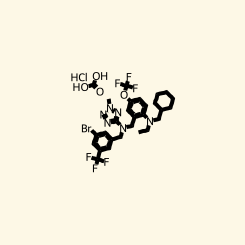 CCN(CC1CCCCC1)c1ccc(OC(F)(F)F)cc1CN(Cc1cc(Br)cc(C(F)(F)F)c1)c1nnn(C)n1.Cl.O=C(O)O